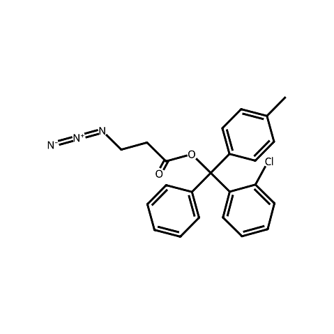 Cc1ccc(C(OC(=O)CCN=[N+]=[N-])(c2ccccc2)c2ccccc2Cl)cc1